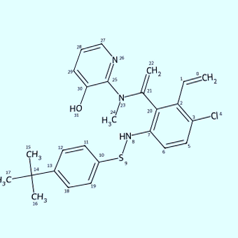 C=Cc1c(Cl)ccc(NSc2ccc(C(C)(C)C)cc2)c1C(=C)N(C)c1ncccc1O